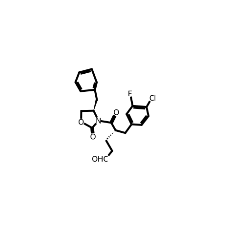 O=CCC[C@@H](Cc1ccc(Cl)c(F)c1)C(=O)N1C(=O)OC[C@H]1Cc1ccccc1